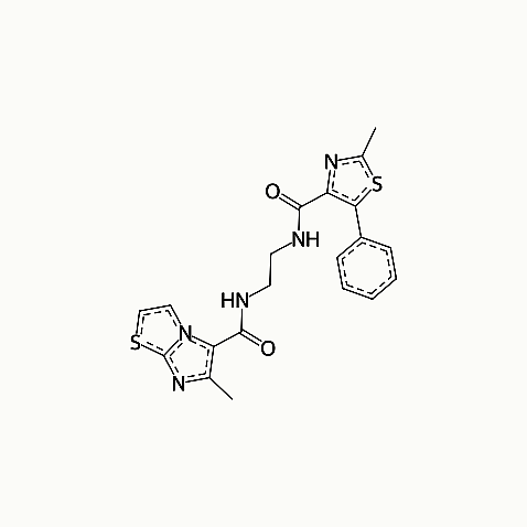 Cc1nc(C(=O)NCCNC(=O)c2c(C)nc3sccn23)c(-c2ccccc2)s1